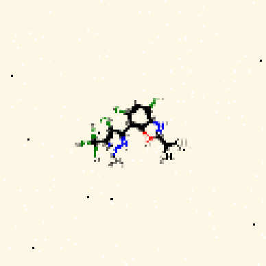 CC(C)c1nc2c(Cl)cc(F)c(-c3nn(C)c(C(F)(F)F)c3Cl)c2o1